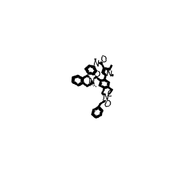 Cc1c(C(=O)N(C)c2ccccc2)cc(-c2cc3c(cc2C(=O)N2Cc4ccccc4C[C@H]2C)CN(C(=O)Cc2ccccc2)CC3)n1C